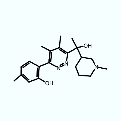 Cc1ccc(-c2nnc(C(C)(O)C3CCCN(C)C3)c(C)c2C)c(O)c1